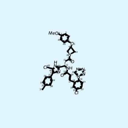 COc1ccc(OC2CN(C(=O)C[C@H](NC(=O)/C=C/c3cc(Cl)ccc3-n3cnnn3)c3nc(-c4ccc(C)cc4)c(Cl)[nH]3)C2)cc1